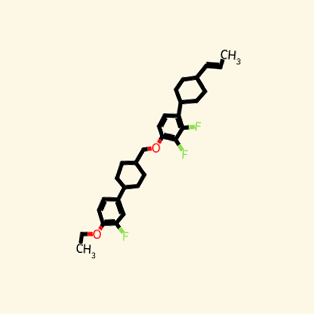 C/C=C/C1CCC(c2ccc(OCC3CCC(c4ccc(OCC)c(F)c4)CC3)c(F)c2F)CC1